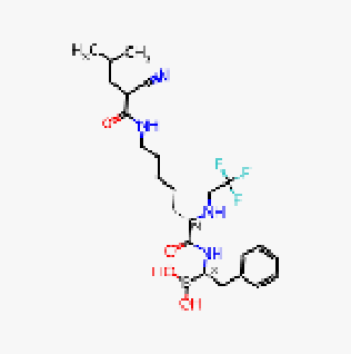 CC(C)CC(C#N)C(=O)NCCCCC[C@H](NCC(F)(F)F)C(=O)N[C@@H](Cc1ccccc1)B(O)O